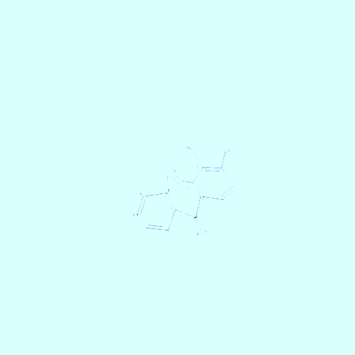 Cc1ccc(C(=O)c2ccccc2)c(O)c1C